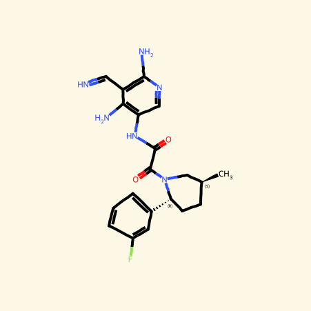 C[C@H]1CC[C@H](c2cccc(F)c2)N(C(=O)C(=O)Nc2cnc(N)c(C=N)c2N)C1